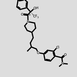 CC(CCC1CCN(C(=O)[C@](O)(c2ccccc2)C(F)(F)F)CC1)COc1ccc(C(=O)N(C)C)c(Cl)c1